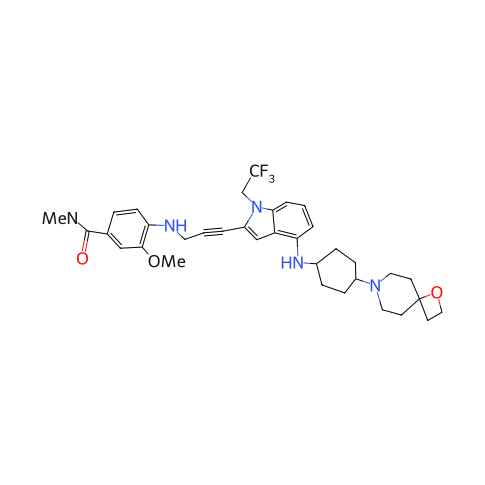 CNC(=O)c1ccc(NCC#Cc2cc3c(NC4CCC(N5CCC6(CCO6)CC5)CC4)cccc3n2CC(F)(F)F)c(OC)c1